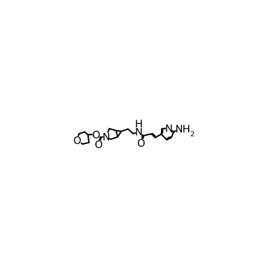 Nc1ccc(/C=C/C(=O)NCCC2C3CN(C(=O)OC4CCOCC4)CC23)cn1